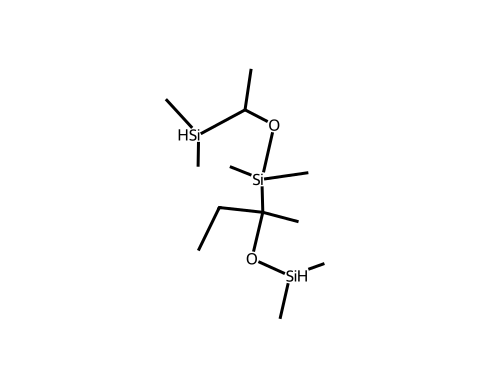 CCC(C)(O[SiH](C)C)[Si](C)(C)OC(C)[SiH](C)C